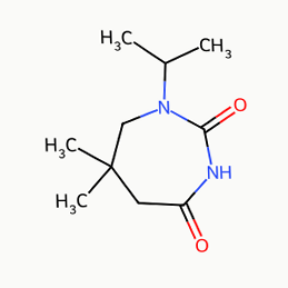 CC(C)N1CC(C)(C)CC(=O)NC1=O